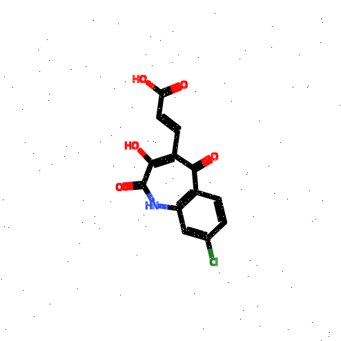 O=C(O)/C=C/c1c(O)c(=O)[nH]c2cc(Cl)ccc2c1=O